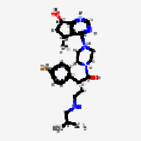 CC(C)CNCC[C@@H](C(=O)N1CCN(c2ncnc3c2[C@H](C)C[C@H]3O)CC1)c1ccc(Br)cc1